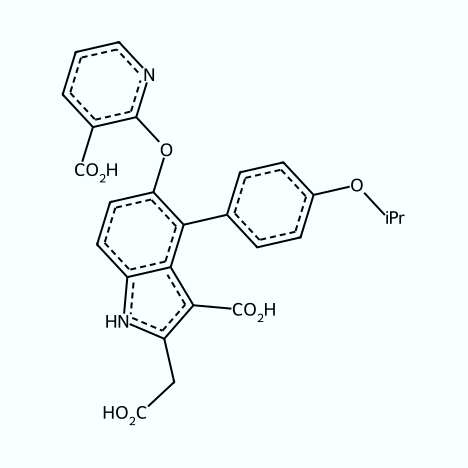 CC(C)Oc1ccc(-c2c(Oc3ncccc3C(=O)O)ccc3[nH]c(CC(=O)O)c(C(=O)O)c23)cc1